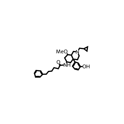 COC1CC(NC(=O)CCCCCc2ccccc2)CC2(c3cccc(O)c3)CCN(CC3CC3)CC12